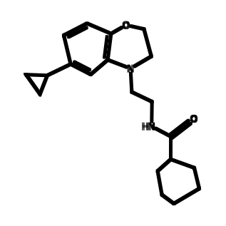 O=C(NCCN1CCOc2ccc(C3CC3)cc21)C1CCCCC1